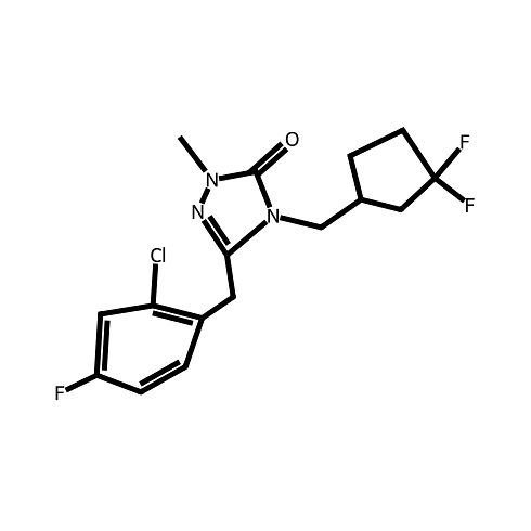 Cn1nc(Cc2ccc(F)cc2Cl)n(CC2CCC(F)(F)C2)c1=O